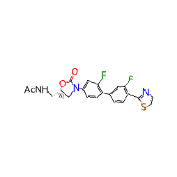 CC(=O)NC[C@H]1CN(c2ccc(-c3ccc(-c4nccs4)c(F)c3)c(F)c2)C(=O)O1